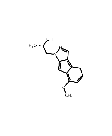 COC1=C2C=c3c(cnn3C[C@H](C)O)=C2CC=C1